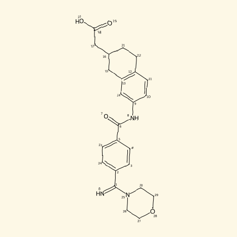 N=C(c1ccc(C(=O)Nc2ccc3c(c2)CC(CC(=O)O)CC3)cc1)N1CCOCC1